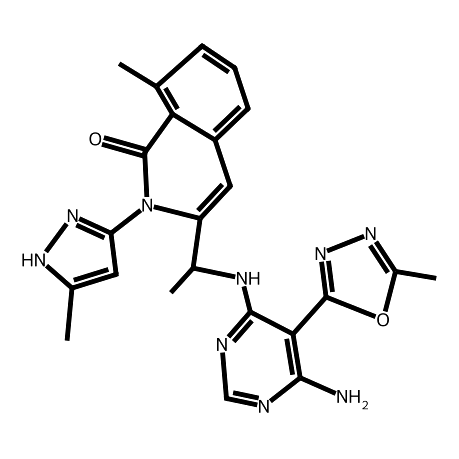 Cc1cc(-n2c(C(C)Nc3ncnc(N)c3-c3nnc(C)o3)cc3cccc(C)c3c2=O)n[nH]1